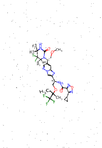 BC1(B)NC(=O)N([C@H](COC)c2cnn3cc([C@H](COC(C)(C)C(F)(F)F)NC(=O)c4nonc4C4CC4)nc3c2)C(B)(B)C1(F)F